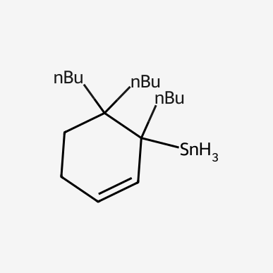 CCCC[C]1([SnH3])C=CCCC1(CCCC)CCCC